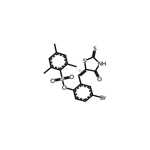 Cc1cc(C)c(S(=O)(=O)Oc2ccc(Br)cc2/C=C2/SC(=S)NC2=O)c(C)c1